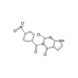 O=C(c1ccc([N+](=O)[O-])cc1)n1c(Cl)nc2[nH]ccc2c1=O